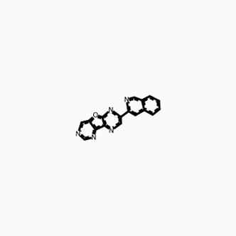 c1ccc2cc(-c3cnc4c(n3)oc3cncnc34)ncc2c1